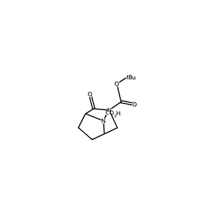 CC(C)(C)OC(=O)N1CC2CCC(C1=O)N2C(=O)O